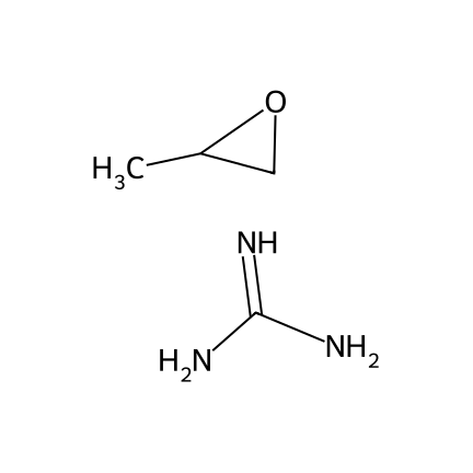 CC1CO1.N=C(N)N